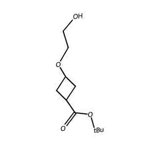 CC(C)(C)OC(=O)C1CC(OCCO)C1